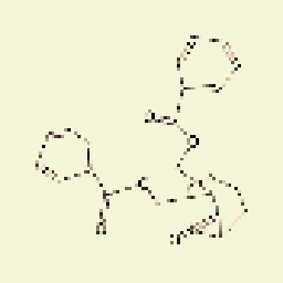 O=C(OCC1(COC(=O)c2ccccc2)C(=O)C2CCN1CC2)c1ccccc1